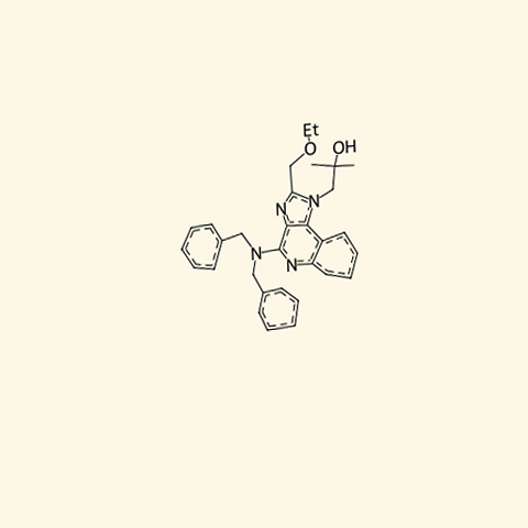 CCOCc1nc2c(N(Cc3ccccc3)Cc3ccccc3)nc3ccccc3c2n1CC(C)(C)O